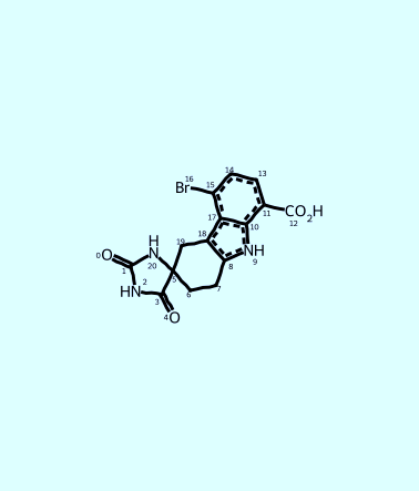 O=C1NC(=O)C2(CCc3[nH]c4c(C(=O)O)ccc(Br)c4c3C2)N1